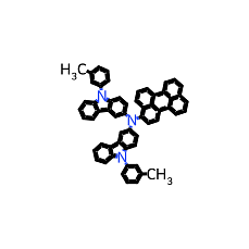 Cc1cccc(-n2c3ccccc3c3cc(N(c4ccc5c(c4)c4ccccc4n5-c4cccc(C)c4)c4ccc5c6cccc7cccc(c8cccc4c85)c76)ccc32)c1